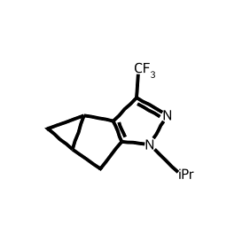 CC(C)n1nc(C(F)(F)F)c2c1CC1CC21